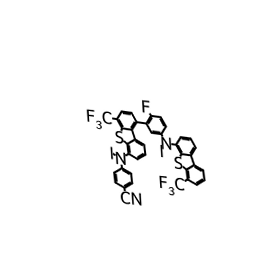 N#Cc1ccc(N(I)c2cccc3c2sc2c(C(F)(F)F)ccc(-c4cc(N(I)c5cccc6c5sc5c(C(F)(F)F)cccc56)ccc4F)c23)cc1